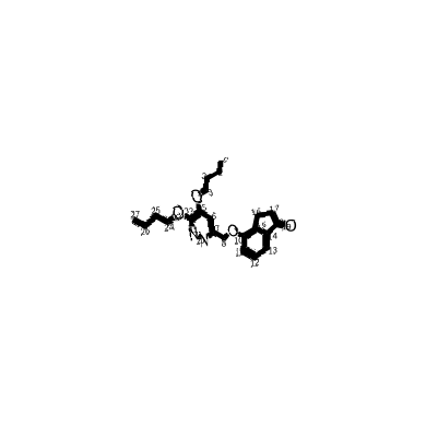 CCCCOc1cc(COc2cccc3c2CCC3=O)nnc1OCCCC